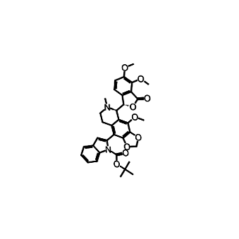 COc1ccc2c(c1OC)C(=O)O[C@@H]2[C@H]1c2c(c(-c3cc4ccccc4n3C(=O)OC(C)(C)C)c3c(c2OC)OCO3)CCN1C